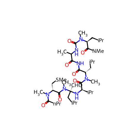 CCCC(=O)N(C)[C@H](CSC)C(=O)N(C)[C@](C=O)(CC(C)C)N[C@@H](C(=O)N(C)[C@@H](CC(C)C)C(=O)NC(=O)C(C)NC(=O)N(C)[C@@H](CC(C)C)C(=O)NC)C(C)C